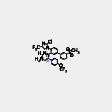 CS(=O)(=O)c1cccc(-c2ccc(-n3cc(C(F)(F)F)nc3Cl)c(N(N)/C(=C\N)c3ccc(OC(F)(F)F)cc3)c2)c1